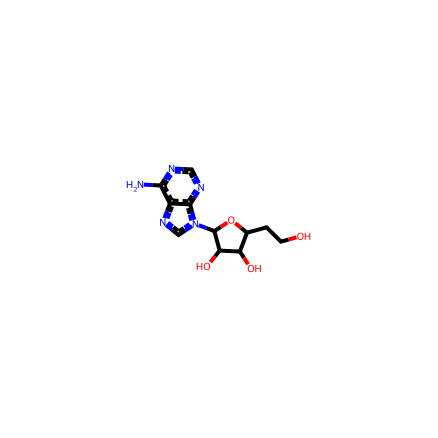 Nc1ncnc2c1ncn2C1OC(CCO)C(O)C1O